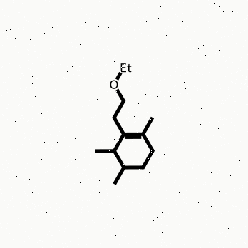 CCOCCC1=C(C)CCC(C)C1C